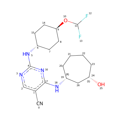 N#Cc1cnc(N[C@H]2CC[C@H](OC(F)F)CC2)nc1N[C@@H]1CCCC[C@H](O)C1